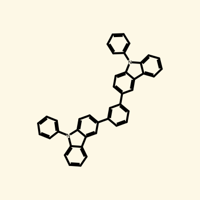 c1ccc(-n2c3ccccc3c3cc(-c4cccc(-c5ccc6c(c5)c5ccccc5n6-c5ccccc5)c4)ccc32)cc1